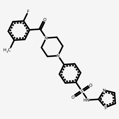 Cc1ccc(F)c(C(=O)N2CCN(c3ccc(S(=O)(=O)Nc4nccs4)cc3)CC2)c1